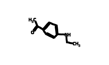 CCNc1[c]cc(C(C)=O)cc1